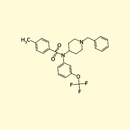 Cc1ccc(S(=O)(=O)N(c2cccc(OC(F)(F)F)c2)C2CCN(Cc3ccccc3)CC2)cc1